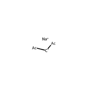 CC(=O)[CH-]C(C)=O.[Na+]